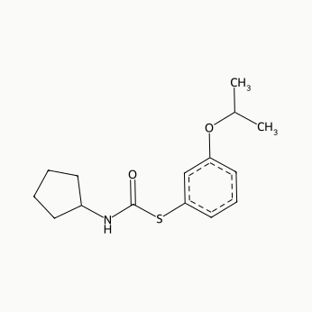 CC(C)Oc1cccc(SC(=O)NC2CCCC2)c1